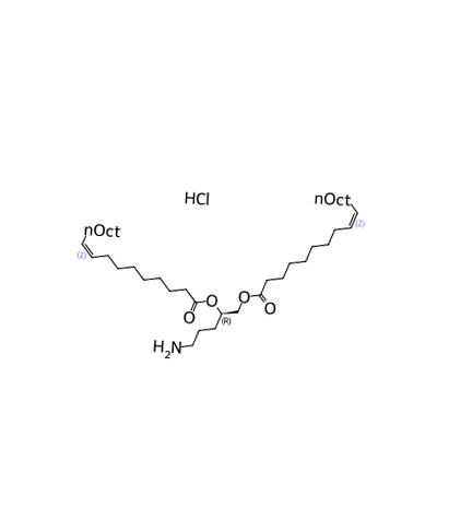 CCCCCCCC/C=C\CCCCCCCC(=O)OC[C@@H](CCCN)OC(=O)CCCCCCC/C=C\CCCCCCCC.Cl